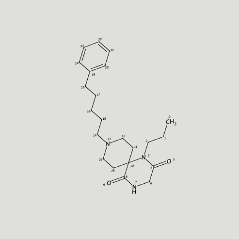 CCCN1C(=O)CNC(=O)C12CCN(CCCCCc1ccccc1)CC2